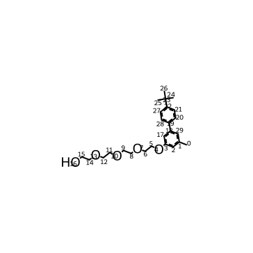 Cc1cc(OCCOCCOCCOCCO)cc(-c2ccc(C(C)(C)C)cc2)c1